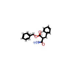 [NH]C(=O)C(Cc1ccccc1)C(=O)OCc1ccccc1